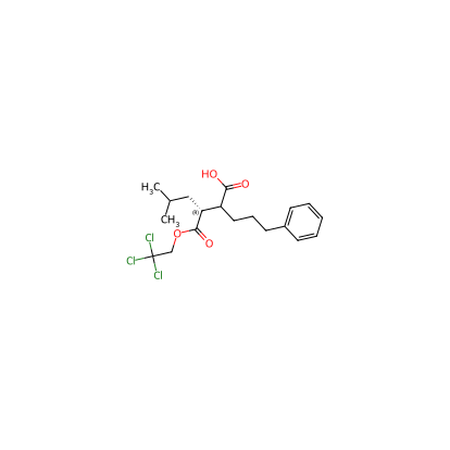 CC(C)C[C@@H](C(=O)OCC(Cl)(Cl)Cl)C(CCCc1ccccc1)C(=O)O